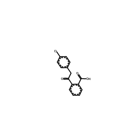 O=C(O)c1ccccc1C(=O)Cc1ccc(Cl)cc1